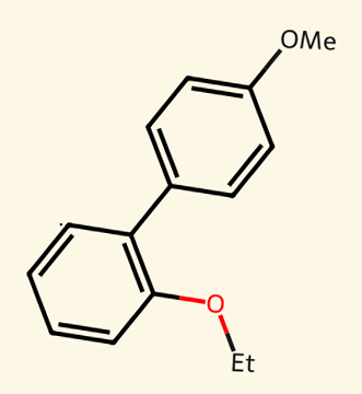 CCOc1ccc[c]c1-c1ccc(OC)cc1